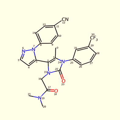 Cc1c(-c2ccnn2-c2ccc(C#N)cc2)n(CC(=O)N(C)C)c(=O)n1-c1cccc(C(F)(F)F)c1